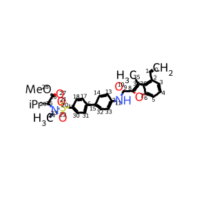 C=Cc1cccc2oc(C(=O)Nc3ccc(-c4ccc(S(=O)(=O)N(C)[C@H](C(=O)OC)C(C)C)cc4)cc3)c(C)c12